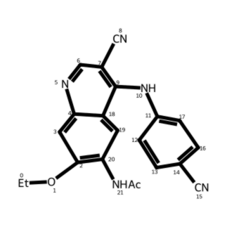 CCOc1cc2ncc(C#N)c(Nc3ccc(C#N)cc3)c2cc1NC(C)=O